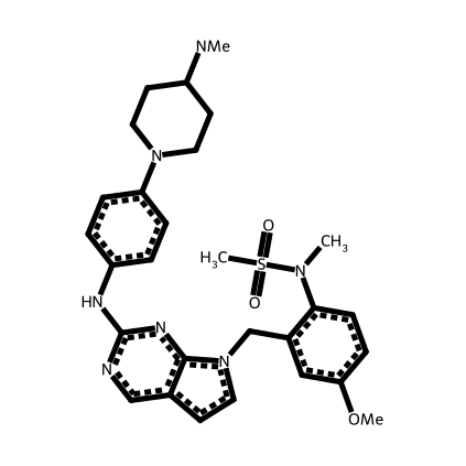 CNC1CCN(c2ccc(Nc3ncc4ccn(Cc5cc(OC)ccc5N(C)S(C)(=O)=O)c4n3)cc2)CC1